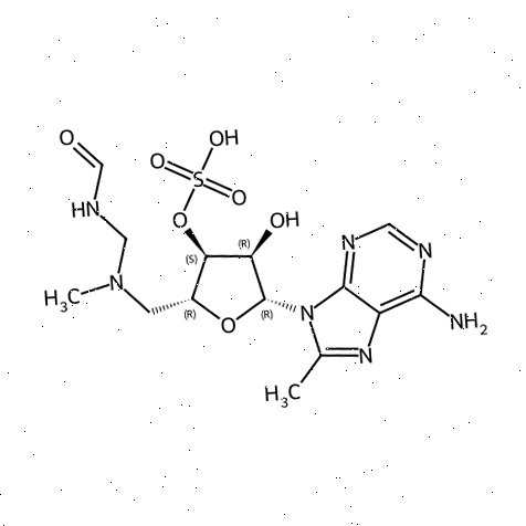 Cc1nc2c(N)ncnc2n1[C@@H]1O[C@H](CN(C)CNC=O)[C@@H](OS(=O)(=O)O)[C@H]1O